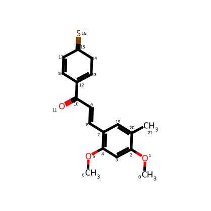 COc1cc(OC)c(C=CC(=O)C2=CCC(=S)C=C2)cc1C